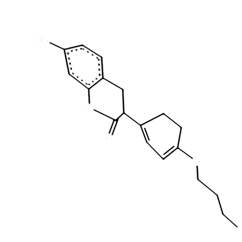 CCCCOC1=CC=C(C2Cc3ccc(O)cc3OC2=O)CC1